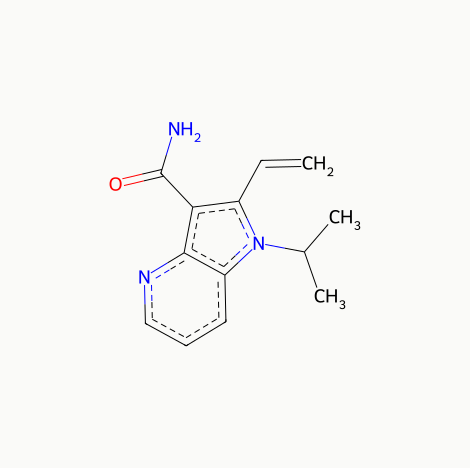 C=Cc1c(C(N)=O)c2ncccc2n1C(C)C